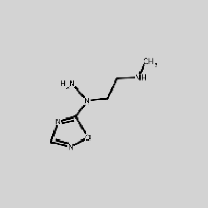 CNCCN(N)c1ncno1